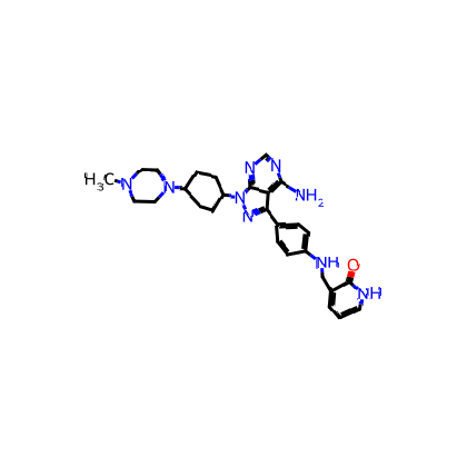 CN1CCN(C2CCC(n3nc(-c4ccc(NCc5ccc[nH]c5=O)cc4)c4c(N)ncnc43)CC2)CC1